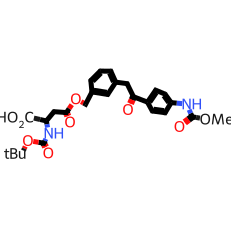 COC(=O)Nc1ccc(C(=O)Cc2cccc(COC(=O)CC(NC(=O)OC(C)(C)C)C(=O)O)c2)cc1